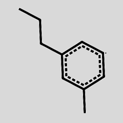 CCCc1c[c]cc(C)c1